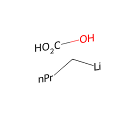 O=C(O)O.[Li][CH2]CCC